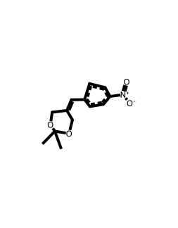 CC1(C)OCC(=Cc2ccc([N+](=O)[O-])cc2)CO1